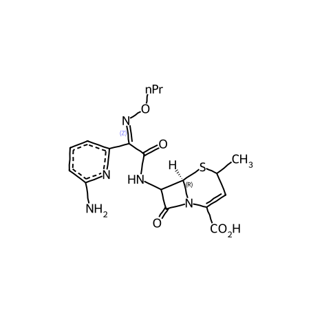 CCCO/N=C(\C(=O)NC1C(=O)N2C(C(=O)O)=CC(C)S[C@H]12)c1cccc(N)n1